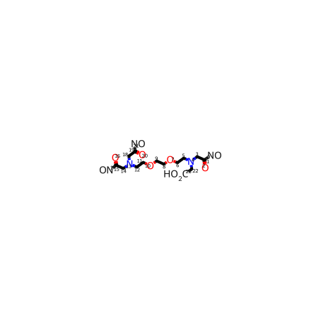 O=NC(=O)CN(CCOCCOCCN(CC(=O)N=O)CC(=O)N=O)CC(=O)O